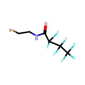 O=C(NCCBr)C(F)(F)C(F)(F)C(F)(F)F